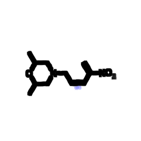 C=C(/C=C\CN1CC(C)OC(C)C1)[N+](=O)[O-]